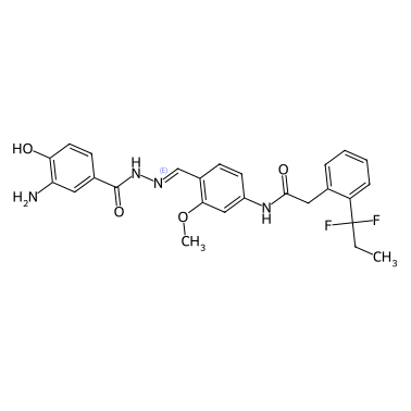 CCC(F)(F)c1ccccc1CC(=O)Nc1ccc(/C=N/NC(=O)c2ccc(O)c(N)c2)c(OC)c1